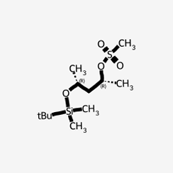 C[C@H](C[C@@H](C)OS(C)(=O)=O)O[Si](C)(C)C(C)(C)C